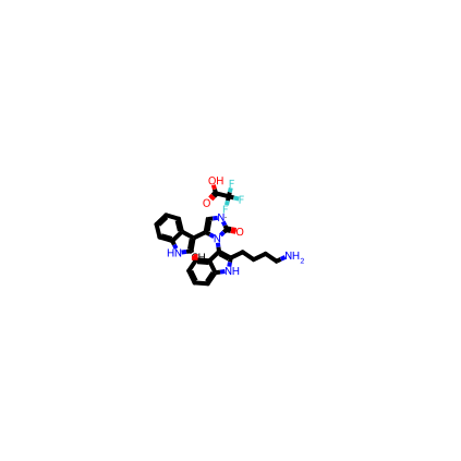 Cc1[nH]c2ccccc2c1C1=C[N]C(=O)N1c1c(CCCCN)[nH]c2ccccc12.O=C(O)C(F)(F)F